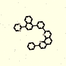 c1ccc(-c2ccc3ccc4ccc(-c5cccc(-c6ccc(-c7ncccn7)c7ccccc67)c5)nc4c3n2)cc1